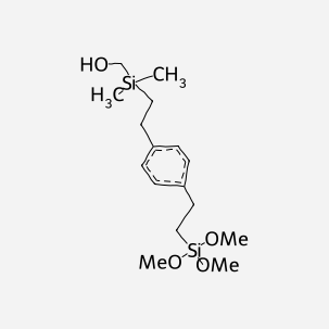 CO[Si](CCc1ccc(CC[Si](C)(C)CO)cc1)(OC)OC